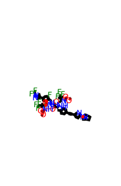 COC(=O)NC(C(=O)N[C@@H](Cc1ccc(C#Cc2ccc(N3CC4CCC(C3)N4C)nc2)cc1)[C@@H](O)CN(Cc1c(F)cc(-c2cnn(C(F)F)c2)cc1F)NC(=O)[C@@H](NC(=O)OC)C(C)(C)C(F)(F)F)C(C)(C)C(F)(F)F